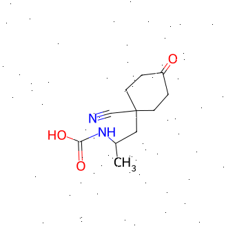 CC(CC1(C#N)CCC(=O)CC1)NC(=O)O